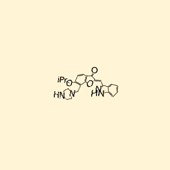 CC(C)Oc1ccc2c(c1CN1CCNCC1)OC(=Cc1n[nH]c3ccccc13)C2=O